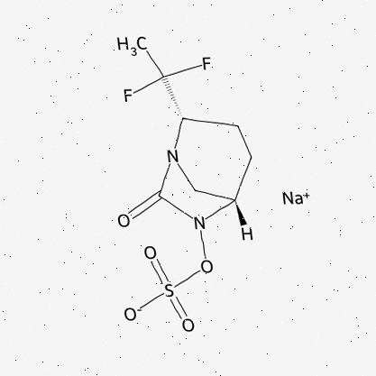 CC(F)(F)[C@@H]1CC[C@H]2CN1C(=O)N2OS(=O)(=O)[O-].[Na+]